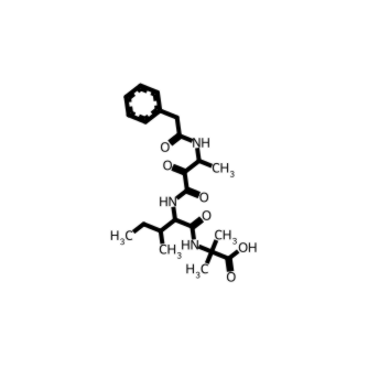 CCC(C)C(NC(=O)C(=O)C(C)NC(=O)Cc1ccccc1)C(=O)NC(C)(C)C(=O)O